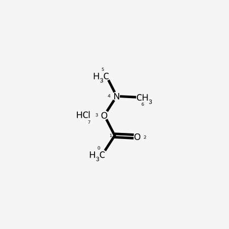 CC(=O)ON(C)C.Cl